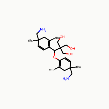 CC(C)(C)C1=C(OC(C2=C(C(C)(C)C)CC(CN)(C(C)(C)C)C=C2)C(CO)(CO)CO)C=CC(CN)(C(C)(C)C)C1